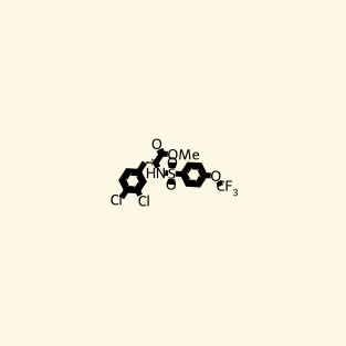 COC(=O)[C@@H](Cc1ccc(Cl)c(Cl)c1)NS(=O)(=O)c1ccc(OC(F)(F)F)cc1